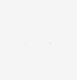 CNCc1ccn(C)n1